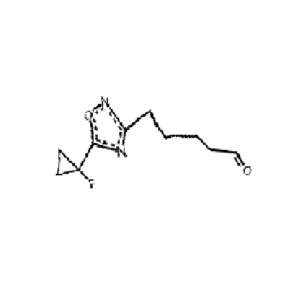 O=CCCCCc1noc(C2(F)CC2)n1